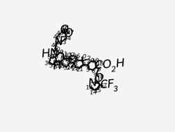 CC1(C)C(C2=CCC(CCOc3ncccc3C(F)(F)F)(C(=O)O)CC2)=CCC2(C)C1CCC1(C)C2CCC2[C@H]3CCCC3(NCCN3CCS(=O)(=O)CC3)CC[C@]21C